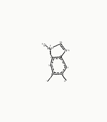 Cc1cc2c(cc1C)[NH+]([O-])C=N2